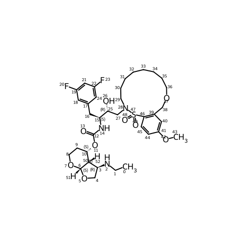 CCN[C@H]1CO[C@@H]2OCC[C@H](OC(=O)N[C@@H](Cc3cc(F)cc(F)c3)[C@H](O)CN3CCCCCCCCOCc4cc(OC)ccc4S3(=O)=O)[C@@H]21